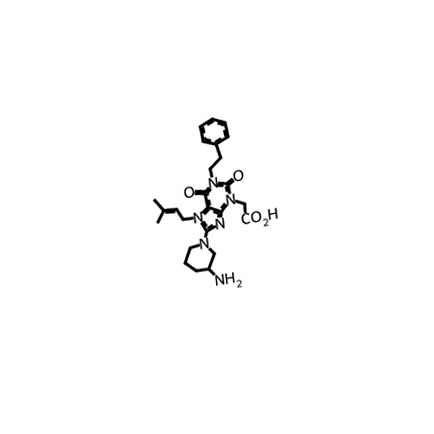 CC(C)=CCn1c(N2CCCC(N)C2)nc2c1c(=O)n(CCc1ccccc1)c(=O)n2CC(=O)O